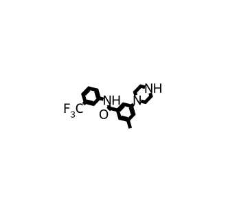 Cc1cc(C(=O)Nc2cccc(C(F)(F)F)c2)cc(N2CCNCC2)c1